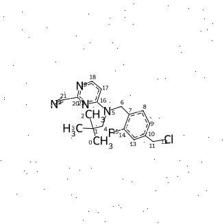 CC(C)(C)CN(Cc1ccc(CCl)cc1F)c1ccnc(C#N)n1